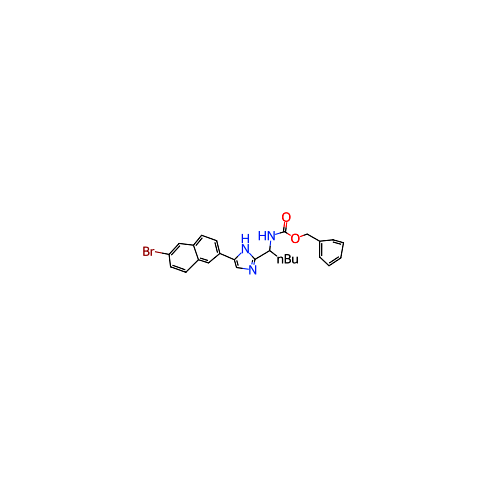 CCCCC(NC(=O)OCc1ccccc1)c1ncc(-c2ccc3cc(Br)ccc3c2)[nH]1